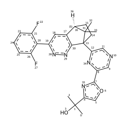 CC(C)(O)c1coc(-c2cncc(C34CC[C@H](c5cc(-c6c(F)cccc6F)nnc53)C4(C)C)n2)n1